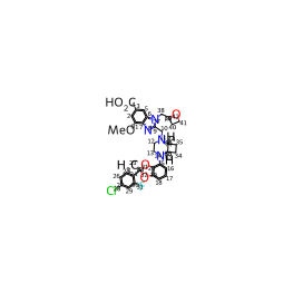 COc1cc(C(=O)O)cc2c1nc(CN1CCN(c3cccc4c3O[C@@](C)(c3ccc(Cl)cc3F)O4)[C@@H]3CC[C@H]31)n2C[C@@H]1CCO1